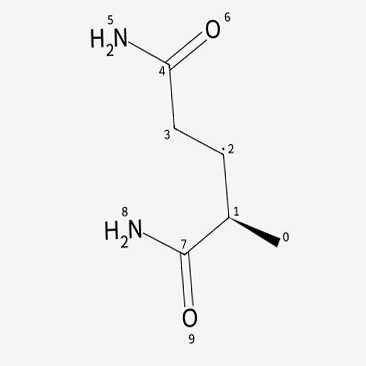 C[C@H]([CH]CC(N)=O)C(N)=O